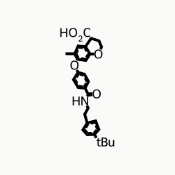 Cc1cc2c(cc1Oc1ccc(C(=O)NCCc3ccc(C(C)(C)C)cc3)cc1)OCCC2C(=O)O